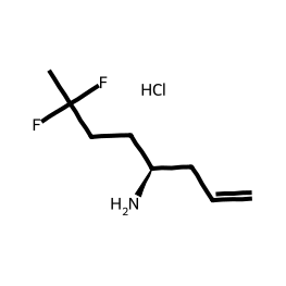 C=CC[C@@H](N)CCC(C)(F)F.Cl